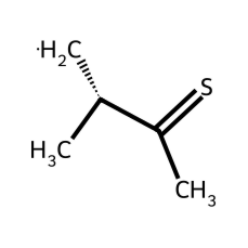 [CH2][C@@H](C)C(C)=S